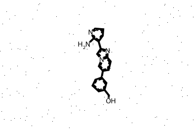 Nc1ncccc1-c1cn2cc(-c3cccc(CO)c3)ccc2n1